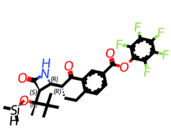 C[SiH](C)O[C@](C)([C@H]1C(=O)N[C@@H]1[C@H]1CCc2ccc(C(=O)Oc3c(F)c(F)c(F)c(F)c3F)cc2C1=O)C(C)(C)C